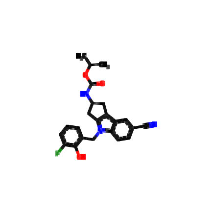 CC(C)OC(=O)NC1Cc2c(n(Cc3cccc(F)c3O)c3ccc(C#N)cc23)C1